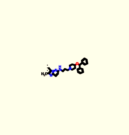 [C]c1c(C)nc2ccc(NCCCN3CCC(OC(c4ccccc4)c4ccccc4)CC3)nn12